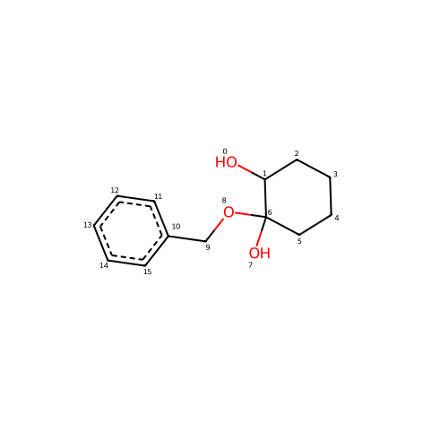 OC1CCCCC1(O)OCc1ccccc1